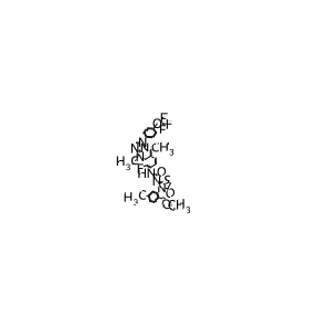 C\C=C(/C=C\C(=C\F)NC(=O)/N=C1\SCC(=O)N1c1cc(C)ccc1COC)CN(C)c1ncn(-c2ccc(OC(F)(F)F)cc2)n1